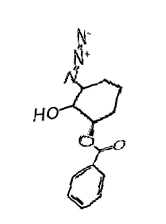 [N-]=[N+]=NC1CCC[C@@H](OC(=O)c2ccccc2)C1O